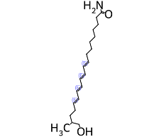 CC(CO)CC/C=C/C=C/C=C/C=C/CCCCCCCC(N)=O